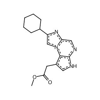 COC(=O)Cc1c[nH]c2ncc3nc(C4CCCCC4)cn3c12